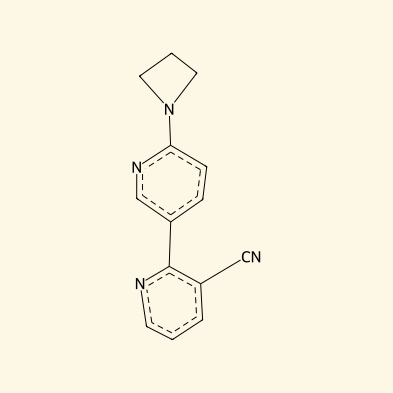 N#Cc1cccnc1-c1ccc(N2CCC2)nc1